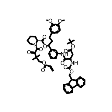 C=CC(=O)OCC(C)(C)C(=O)C(=O)N1CCCC[C@H]1C(=O)OC(CCc1ccc(OC)c(OC)c1)c1cccc(NC(=O)C(CC(=O)OC(C)(C)C)NC(=O)OCC2c3ccccc3-c3ccccc32)c1